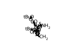 C=CC1=CN2C(=O)C(COC(=O)C(C)(C)C)(NC(=O)C(=NOCC(=O)OCOC(=O)C(C)(C)C)c3csc(N)n3)[C@@H]2SC1